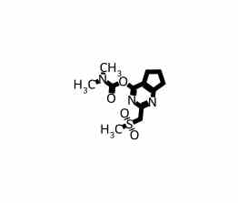 CN(C)C(=O)Oc1nc(CS(C)(=O)=O)nc2c1CCC2